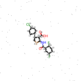 O=C(Nc1scc(-c2ccc(Cl)cc2)c1C(=O)O)c1cc(F)ccc1F